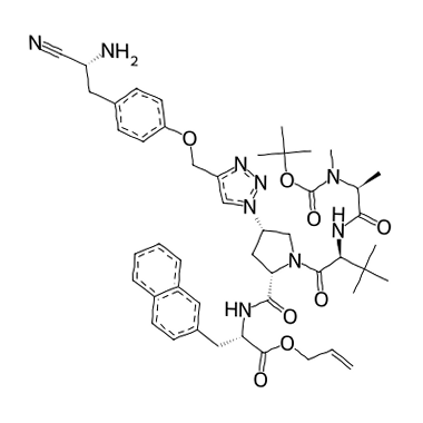 C=CCOC(=O)[C@H](Cc1ccc2ccccc2c1)NC(=O)[C@@H]1C[C@H](n2cc(COc3ccc(C[C@@H](N)C#N)cc3)nn2)CN1C(=O)[C@@H](NC(=O)[C@H](C)N(C)C(=O)OC(C)(C)C)C(C)(C)C